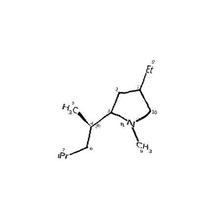 CCC1CC([C@H](C)CC(C)C)N(C)C1